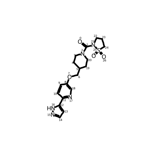 O=C(N1CCC(COc2ccc(-c3ccn[nH]3)nc2)CC1)N1CCCS1(=O)=O